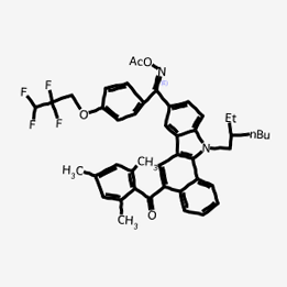 CCCCC(CC)Cn1c2ccc(/C(=N/OC(C)=O)c3ccc(OCC(F)(F)C(F)F)cc3)cc2c2cc(C(=O)c3c(C)cc(C)cc3C)c3ccccc3c21